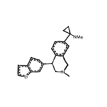 CNC1(c2ccc3c(c2)CN(C)CC3c2ccc3ccoc3c2)CC1